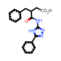 O=C(O)CC(Cc1ccccc1)C(=O)Nc1nnc(-c2ccccc2)[nH]1